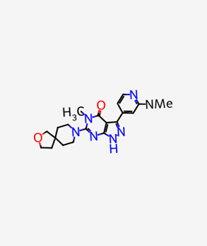 CNc1cc(-c2n[nH]c3nc(N4CCC5(CCOC5)CC4)n(C)c(=O)c23)ccn1